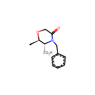 C[C@H]1OCC(=O)N(Cc2ccccc2)[C@@H]1C(=O)O